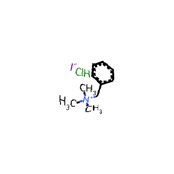 C[N+](C)(C)Cc1ccccc1.Cl.[I-]